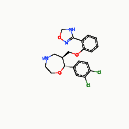 Clc1ccc([C@@H]2OCCNC[C@H]2COc2ccccc2C2=NOCN2)cc1Cl